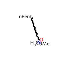 CCCCCC=CCC=CCC=CCC=CCCCC(=O)N(C)OC